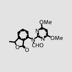 COc1cc(OC)nc(N(C=O)c2cccc3c2C(=O)OC3C)n1